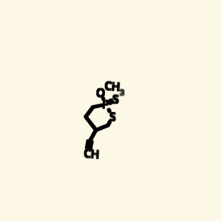 C#CC1CCP(=S)(OC)SC1